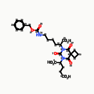 O=C(O)CCC(C(=O)O)N1C(=O)N([C@@H](CCCCNC(=O)OCc2ccccc2)C(=O)O)C(=O)C2(CCC2)C1=O